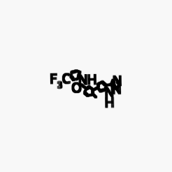 Cc1ccc(C(=O)Nc2cccc(C(F)(F)F)c2)cc1-c1ccc2c(c1)[nH]c1ncncc12